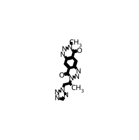 CC(Cn1ncnn1)n1nnc2cc3c(=O)n(C)nnc3cc2c1=O